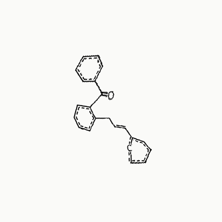 O=C(c1ccccc1)c1ccccc1CC=Cc1ccccc1